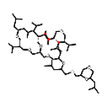 CC(C)CC(CC(C)C)OC[C@@H](COCC(COCC(COC[C@@H](COC[C@H](CC(C)C)C(C)C)C(C)C)OC(COCC1COCC(CC(C)C)O1)CC(C)C)OC[C@H](CC(C)C)C(C)C)C(C)C